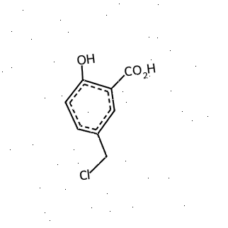 O=C(O)c1cc(CCl)ccc1O